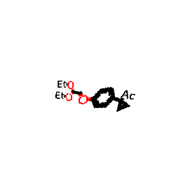 CCOC(COc1ccc(C2(C(C)=O)CC2)cc1)OCC